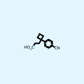 N#Cc1ccc(C2(CCC(=O)O)CCC2)cc1